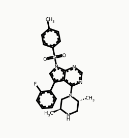 Cc1ccc(S(=O)(=O)n2cc(-c3ccccc3F)c3c(N4C[C@H](C)NC[C@H]4C)ncnc32)cc1